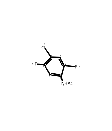 CC(=O)Nc1cc(F)c(Cl)cc1F